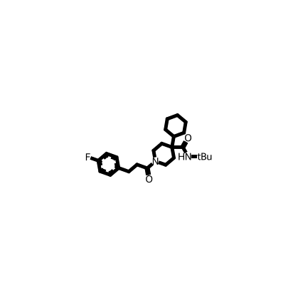 CC(C)(C)NC(=O)C1(C2CCCCC2)CCN(C(=O)CCc2ccc(F)cc2)CC1